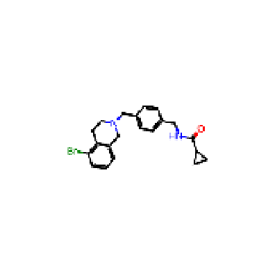 O=C(NCc1ccc(CN2CCc3c(Br)cccc3C2)cc1)C1CC1